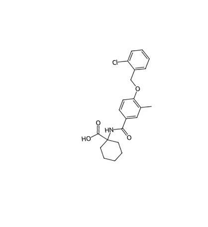 Cc1cc(C(=O)NC2(C(=O)O)CCCCC2)ccc1OCc1ccccc1Cl